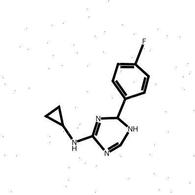 Fc1ccc(C2N=C(NC3CC3)N=CN2)cc1